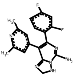 Cc1cc(C2=C(c3ccc(F)cc3F)N=C(N)N3NCN=C23)cc(C)n1